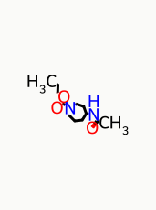 CCCOC(=O)N1CCCC(NC(C)=O)CC1